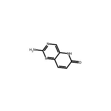 Nc1ncc2[nH]c(=O)ccc2n1